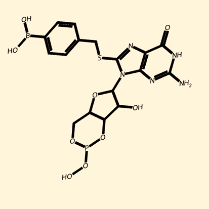 Nc1nc2c(nc(SCc3ccc(B(O)O)cc3)n2C2OC3COP(OO)OC3C2O)c(=O)[nH]1